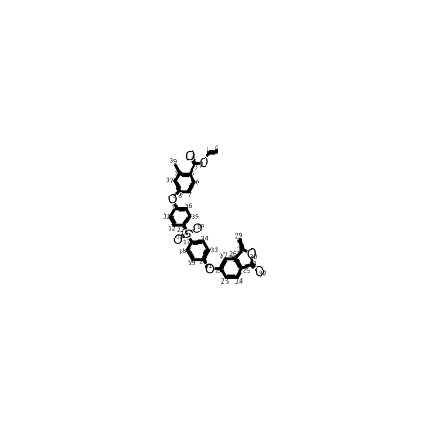 C=COC(=O)c1ccc(Oc2ccc(S(=O)(=O)c3ccc(Oc4ccc5c(c4)C(=C)OC5=O)cc3)cc2)cc1C